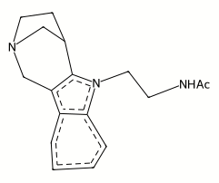 CC(=O)NCCn1c2c(c3ccccc31)CN1CCC2C1